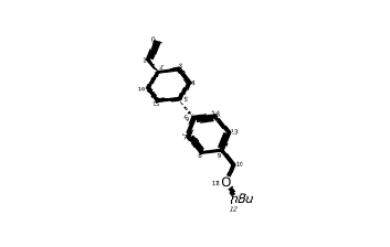 C=C[C@H]1CC[C@H](c2ccc(COCCCC)cc2)CC1